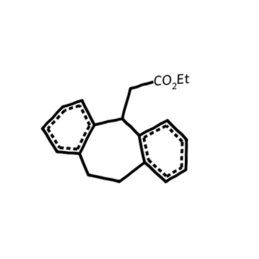 CCOC(=O)CC1c2ccccc2CCc2ccccc21